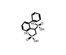 O=P(O)(O)CC(c1ccccc1-c1ccccc1)P(=O)(O)O